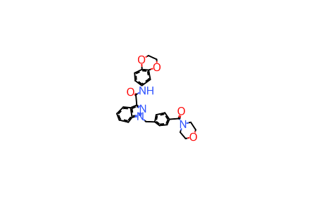 O=C(Nc1ccc2c(c1)OCCO2)c1nn(Cc2ccc(C(=O)N3CCOCC3)cc2)c2ccccc12